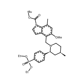 CCOP(=O)(OCC)c1ccc([C@@H]2C[C@H](C)CCN2Cc2c(OC)cc(C)c3c2ccn3C(=O)OC(C)(C)C)cc1